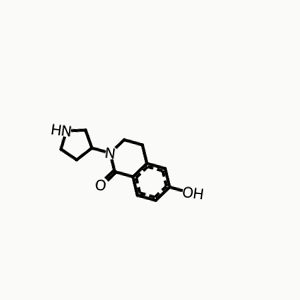 O=C1c2ccc(O)cc2CCN1C1CCNC1